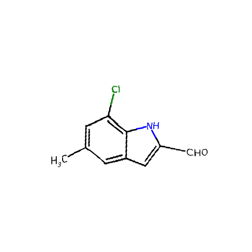 Cc1cc(Cl)c2[nH]c(C=O)cc2c1